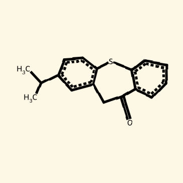 CC(C)c1ccc2c(c1)CC(=O)c1ccccc1S2